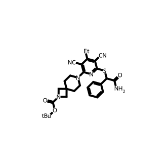 CCc1c(C#N)c(SC(C(N)=O)c2ccccc2)nc(N2CCC3(CC2)CN(C(=O)OC(C)(C)C)C3)c1C#N